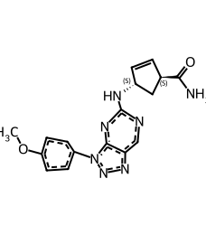 COc1ccc(-n2nnc3cnc(N[C@@H]4C=C[C@@H](C(N)=O)C4)nc32)cc1